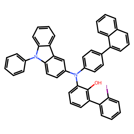 Oc1c(-c2ccccc2I)cccc1N(c1ccc(-c2cccc3ccccc23)cc1)c1ccc2c(c1)c1ccccc1n2-c1ccccc1